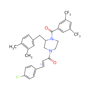 Cc1ccc(CC2CN(C(=O)/C=C/c3ccc(F)cc3)CCN2C(=O)c2cc(C(F)(F)F)cc(C(F)(F)F)c2)cc1C